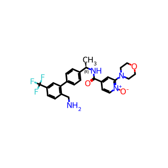 C[C@@H](NC(=O)c1cc[n+]([O-])c(N2CCOCC2)c1)c1ccc(-c2cc(C(F)(F)F)ccc2CN)cc1